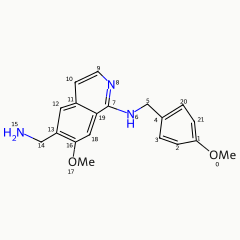 COc1ccc(CNc2nccc3cc(CN)c(OC)cc23)cc1